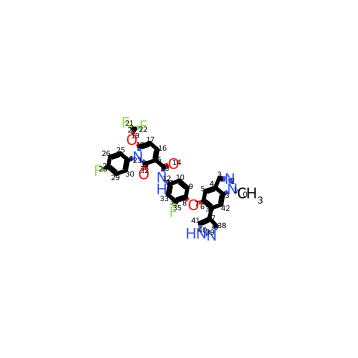 Cn1ncc2cc(Oc3ccc(NC(=O)c4ccc(OC(F)F)n(-c5ccc(F)cc5)c4=O)cc3F)c(-c3cn[nH]c3)cc21